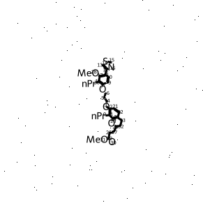 CCCc1c(OCCCOc2ccc(-c3cscn3)c(OC)c2CCC)ccc2c1OC(CCC(=O)OC)CC2